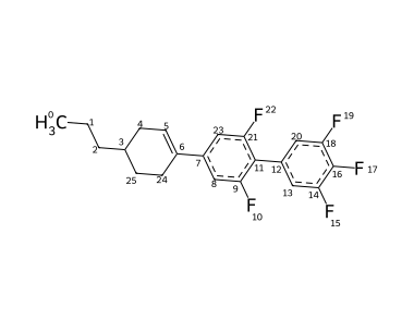 CCCC1CC=C(c2cc(F)c(-c3cc(F)c(F)c(F)c3)c(F)c2)CC1